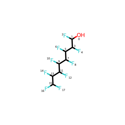 OC(F)C(F)C(F)C(F)C(F)C(F)C(F)C(F)F